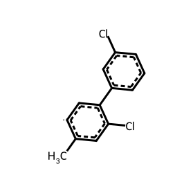 Cc1[c]cc(-c2cccc(Cl)c2)c(Cl)c1